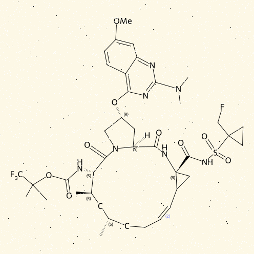 COc1ccc2c(O[C@@H]3C[C@H]4C(=O)N[C@]5(C(=O)NS(=O)(=O)C6(CF)CC6)CC5/C=C\CC[C@H](C)C[C@@H](C)[C@H](NC(=O)OC(C)(C)C(F)(F)F)C(=O)N4C3)nc(N(C)C)nc2c1